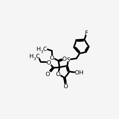 CCOC(=O)C1(C(=O)OCC)OC(=O)C(O)=C1SCc1ccc(F)cc1